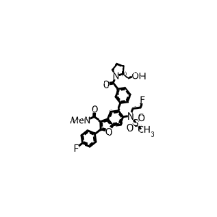 CNC(=O)c1c(-c2ccc(F)cc2)oc2cc(N(CCF)S(C)(=O)=O)c(-c3cccc(C(=O)N4CCC[C@H]4CO)c3)cc12